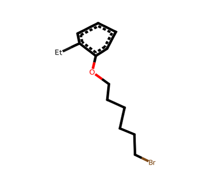 CCc1ccccc1OCCCCCCBr